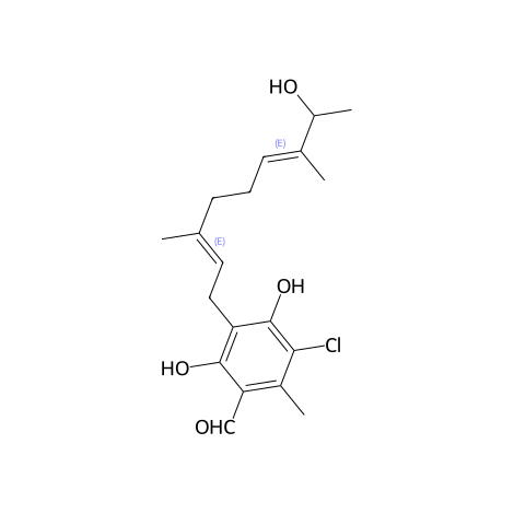 C/C(=C\Cc1c(O)c(Cl)c(C)c(C=O)c1O)CC/C=C(\C)C(C)O